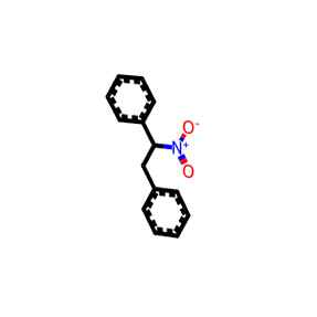 O=[N+]([O-])C(Cc1ccccc1)c1ccccc1